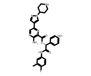 Cc1cc(NC(=O)[C@H](OC(=O)c2nc(-c3cnn(C4CCNCC4)c3)cnc2N)c2ccccc2)ccc1F.Cl